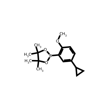 COc1ccc([C]2CC2)cc1B1OC(C)(C)C(C)(C)O1